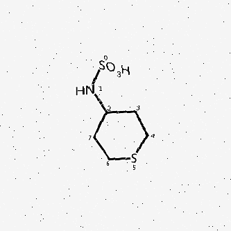 O=S(=O)(O)NC1CCSCC1